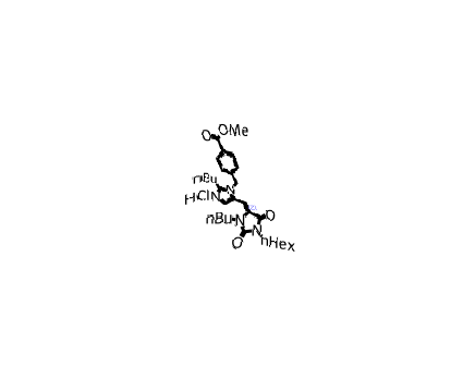 CCCCCCN1C(=O)/C(=C/c2cnc(CCCC)n2Cc2ccc(C(=O)OC)cc2)N(CCCC)C1=O.Cl